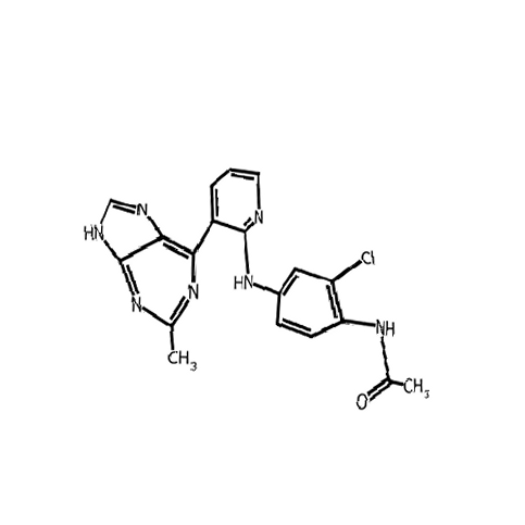 CC(=O)Nc1ccc(Nc2ncccc2-c2nc(C)nc3[nH]cnc23)cc1Cl